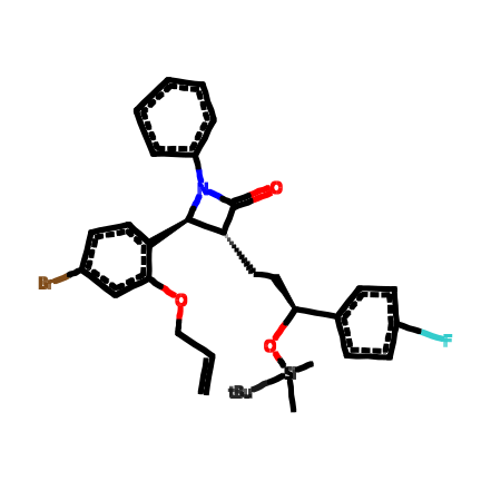 C=CCOc1cc(Br)ccc1[C@@H]1[C@@H](CC[C@H](O[Si](C)(C)C(C)(C)C)c2ccc(F)cc2)C(=O)N1c1ccccc1